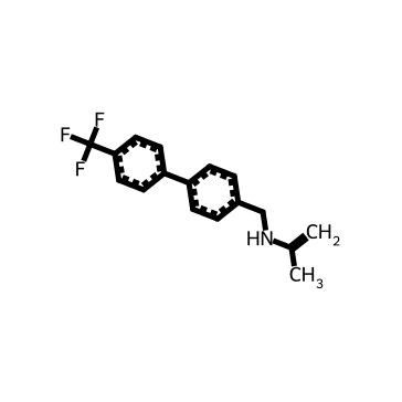 C=C(C)NCc1ccc(-c2ccc(C(F)(F)F)cc2)cc1